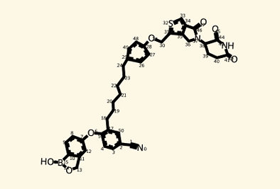 N#Cc1ccc(Oc2ccc3c(c2)COB3O)c(CCCCCCCc2ccc(OCc3scc4c3CN(C3CCC(=O)NC3=O)C4=O)cc2)c1